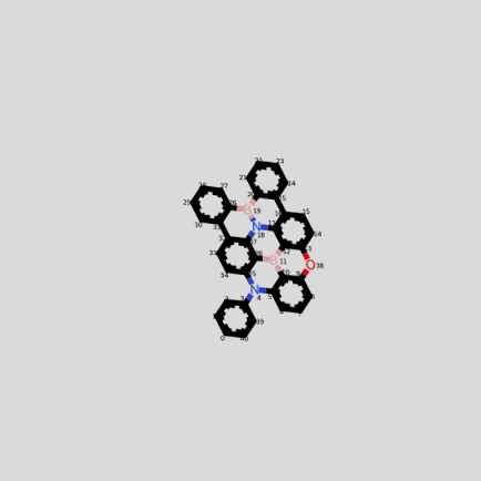 c1ccc(N2c3cccc4c3B3c5c(ccc6c5N5B(c7ccccc7-6)c6ccccc6-c6ccc2c3c65)O4)cc1